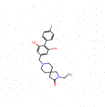 CCN1CC2(CCN(Cc3cc(O)c(-c4ccc(F)cc4)c(O)c3)CC2)CC1=O